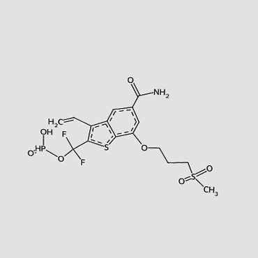 C=Cc1c(C(F)(F)O[PH](=O)O)sc2c(OCCCS(C)(=O)=O)cc(C(N)=O)cc12